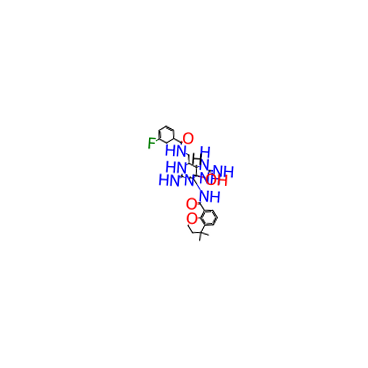 CC1(C)CCOc2c(C(=O)NC3CN4C(=N)N[C@@H](CNC(=O)C5C=CC=C(F)C5)[C@@H]5NC(=N)N[C@@]54[C@@H]3O)cccc21